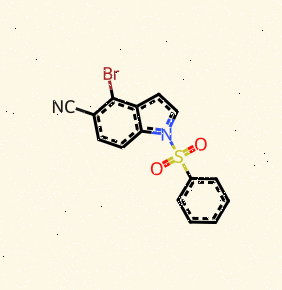 N#Cc1ccc2c(ccn2S(=O)(=O)c2ccccc2)c1Br